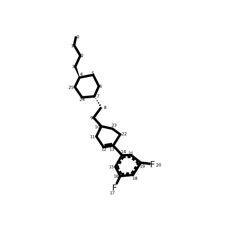 CCCC[C@H]1CC[C@H](CCC2CC=C(c3cc(F)cc(F)c3)CC2)CC1